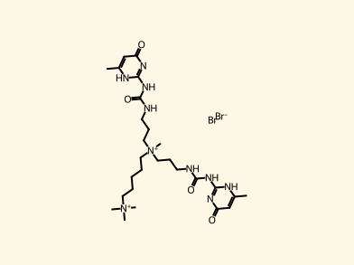 Cc1cc(=O)nc(NC(=O)NCCC[N+](C)(CCCCC[N+](C)(C)C)CCCNC(=O)Nc2nc(=O)cc(C)[nH]2)[nH]1.[Br-].[Br-]